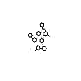 Cc1cc2c3c(c1)N1c4c(oc5ccccc45)C4C=C(C(C)(C)C)C=C(B3c3ccc(N5C6=C(CC(C(C)(C)C)C=C6)C6(C)CCCCC56C)cc3N2C2C=CC=C3c5ccccc5OC32)C41